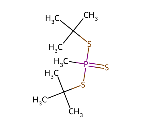 CC(C)(C)SP(C)(=S)SC(C)(C)C